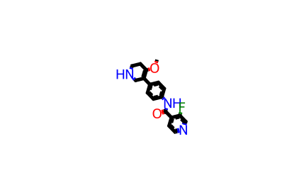 COC1=C(c2ccc(NC(=O)c3ccncc3F)cc2)CNCC1